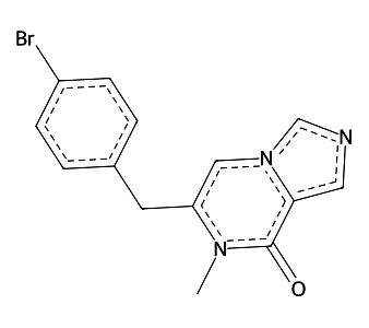 Cn1c(Cc2ccc(Br)cc2)cn2cncc2c1=O